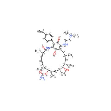 COc1ccc(C2=C3NC(=O)C(C)=CC=CC(OC)C(OC(N)=O)C(C)=CC(C)C(O)C(OC)CC(C)CC(=C(NCCN(C)C)C2=O)C3=O)cc1